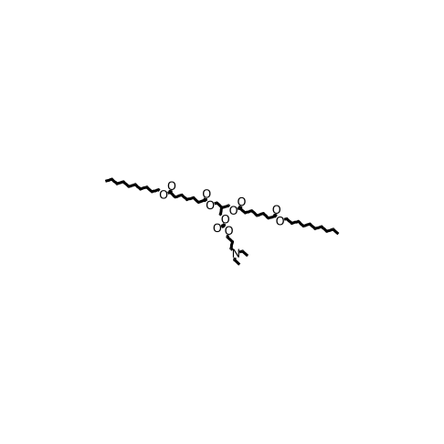 CCCCCCCCCCOC(=O)CCCCCC(=O)OCC(COC(=O)CCCCCC(=O)OCCCCCCCCCC)COC(=O)OCCCN(CC)CC